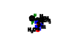 CCN(C[C@@]12CC[C@@H](c3cc(-c4c(F)cccc4F)nnc31)C2(C)C)C(=O)c1noc(C)n1